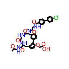 CC(=O)CNC(=O)C1Cc2ccc(OCC(=O)O)c(c2)-c2cccc(c2)C(N(C)C(=O)CNC(=O)c2ccc(-c3ccc(Cl)cc3)cc2)C(=O)NCC(=O)N1